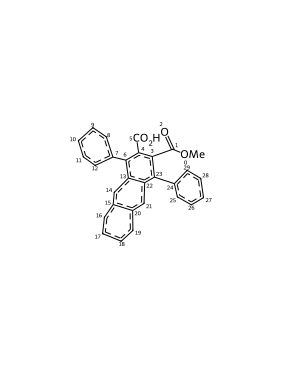 COC(=O)c1c(C(=O)O)c(-c2ccccc2)c2cc3ccccc3cc2c1-c1ccccc1